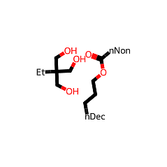 CCC(CO)(CO)CO.CCCCCCCCCCCCCOC(=O)CCCCCCCCC